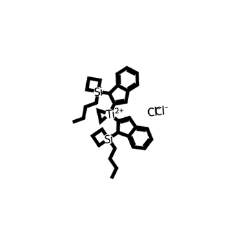 CCCC[Si]1(C2[C]([Ti+2]3([C]4=Cc5ccccc5C4[Si]4(CCCC)CCC4)[CH2][CH2]3)=Cc3ccccc32)CCC1.[Cl-].[Cl-]